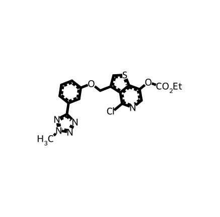 CCOC(=O)Oc1cnc(Cl)c2c(COc3cccc(-c4nnn(C)n4)c3)csc12